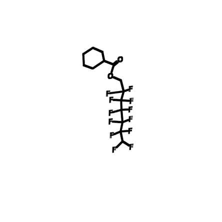 O=C(OCC(F)(F)C(F)(F)C(F)(F)C(F)(F)C(F)(F)C(F)F)C1CCCCC1